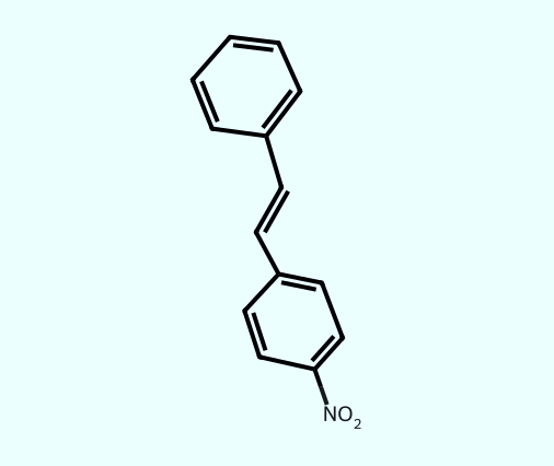 O=[N+]([O-])c1ccc(C=Cc2ccccc2)cc1